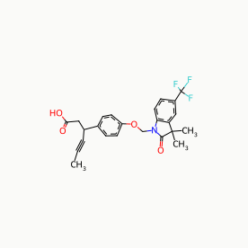 CC#CC(CC(=O)O)c1ccc(OCN2C(=O)C(C)(C)c3cc(C(F)(F)F)ccc32)cc1